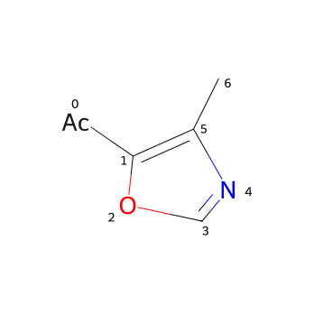 CC(=O)c1ocnc1C